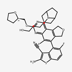 N#Cc1c(N)sc2ccc(F)c(-c3c4c(c5c(N6C7CCC6CN(CCCO)C7)nc(OC[C@H]6CCCO6)nc5c3F)COC4)c12